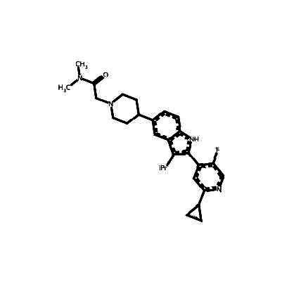 CC(C)c1c(-c2cc(C3CC3)ncc2F)[nH]c2ccc(C3CCN(CC(=O)N(C)C)CC3)cc12